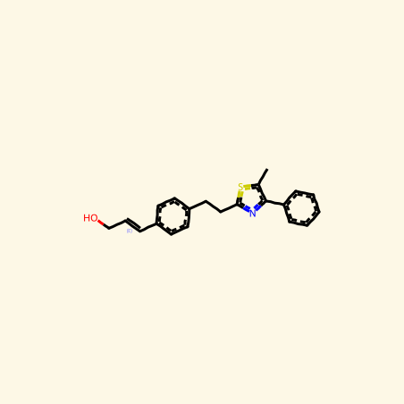 Cc1sc(CCc2ccc(/C=C/CO)cc2)nc1-c1ccccc1